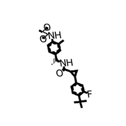 Cc1cc([C@@H](C)NC(=O)C2CC2c2ccc(C(C)(C)C)c(F)c2)ccc1NS(C)(=O)=O